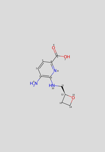 Nc1ccc(C(=O)O)nc1NC[C@@H]1CCO1